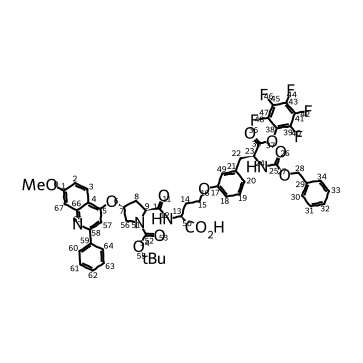 COc1ccc2c(O[C@@H]3C[C@@H](C(=O)N[C@@H](CCOc4cccc(C[C@H](NC(=O)OCc5ccccc5)C(=O)Oc5c(F)c(F)c(F)c(F)c5F)c4)C(=O)O)N(C(=O)OC(C)(C)C)C3)cc(-c3ccccc3)nc2c1